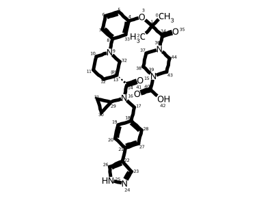 CC(C)(Oc1cccc(N2CCC[C@@H](C(=O)N(Cc3ccc(-c4cn[nH]c4)cc3)C3CC3)C2)c1)C(=O)N1CCN(C(=O)O)CC1